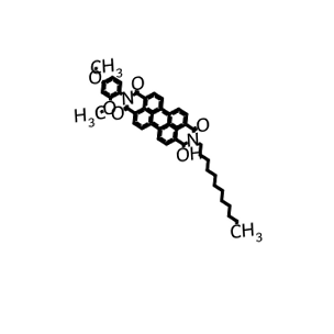 CCCCCCCCCCCCN1C(=O)c2ccc3c4ccc5c6c(ccc(c7ccc(c2c37)C1O)c64)C(=O)N(c1ccc(OC)cc1OC)C5=O